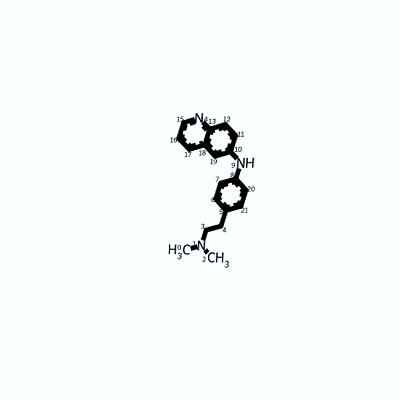 CN(C)CCc1ccc(Nc2ccc3nc[c]cc3c2)cc1